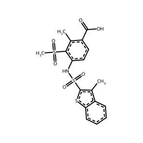 Cc1c(C(=O)O)ccc(NS(=O)(=O)c2sc3ccccc3c2C)c1S(C)(=O)=O